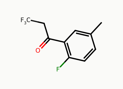 Cc1ccc(F)c(C(=O)CC(F)(F)F)c1